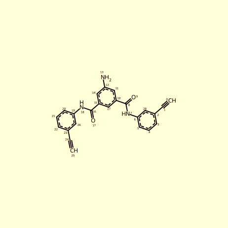 C#Cc1cccc(NC(=O)c2cc(N)cc(C(=O)Nc3cccc(C#C)c3)c2)c1